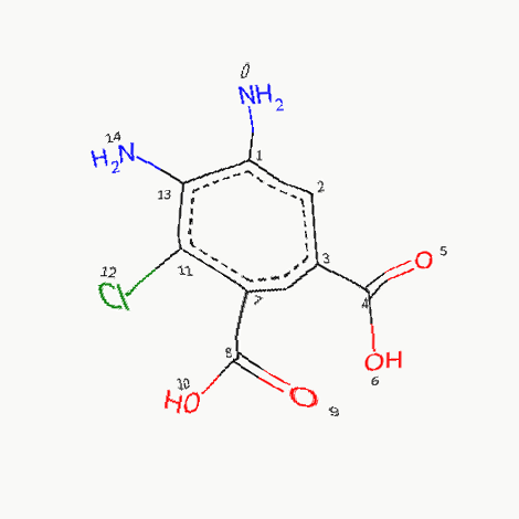 Nc1cc(C(=O)O)c(C(=O)O)c(Cl)c1N